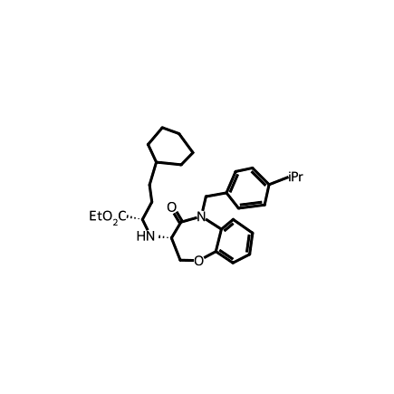 CCOC(=O)[C@H](CCC1CCCCC1)N[C@H]1COc2ccccc2N(Cc2ccc(C(C)C)cc2)C1=O